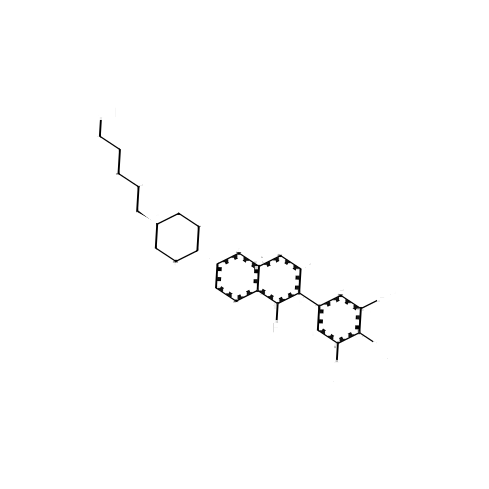 CCCCCC[C@H]1CC[C@H](c2ccc3c(F)c(-c4cc(F)c(Cl)c(F)c4)ccc3c2)CC1